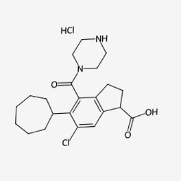 Cl.O=C(O)C1CCc2c1cc(Cl)c(C1CCCCCC1)c2C(=O)N1CCNCC1